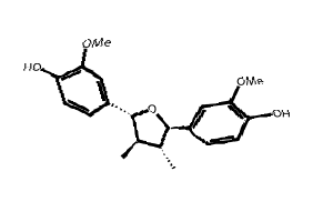 COc1cc([C@@H]2O[C@@H](c3ccc(O)c(OC)c3)[C@H](C)[C@H]2C)ccc1O